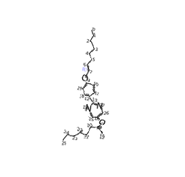 CCCCCC/C=C/Oc1ccc(-c2ncc(O[C@@H](C)CCCCCC)cn2)cc1